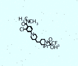 CC(C)C(O)(C(=O)N1CCC(CC2CCN(c3ccc(C(=O)N(C)C)c(Cl)c3)CC2)CC1)C(F)(F)F